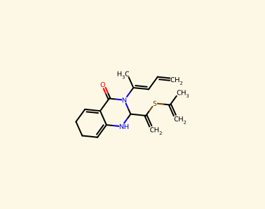 C=C/C=C(\C)N1C(=O)C2=CCCC=C2NC1C(=C)SC(=C)C